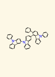 c1ccc(-c2ccc3c(c2-c2ccc4c(c2)c2ccccc2n4-c2ccc4c(c2)c2ccccc2n4-c2ccccc2)c2ccccc2n3-c2ccccc2)cc1